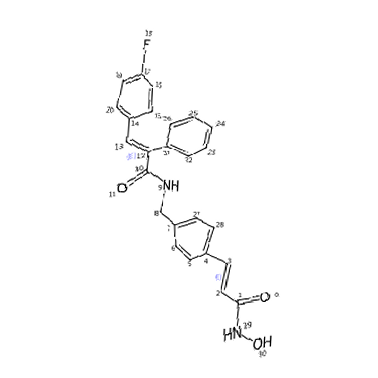 O=C(/C=C/c1ccc(CNC(=O)/C(=C/c2ccc(F)cc2)c2ccccc2)cc1)NO